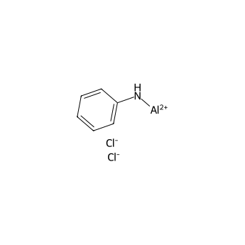 [Al+2][NH]c1ccccc1.[Cl-].[Cl-]